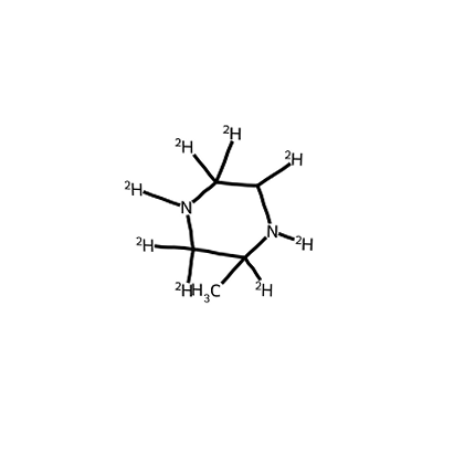 [2H]C1N([2H])C([2H])(C)C([2H])([2H])N([2H])C1([2H])[2H]